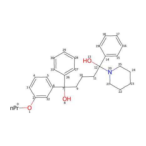 CCCOc1cccc(C(O)(CCCC(O)(c2ccccc2)N2CCCCC2)c2ccccc2)c1